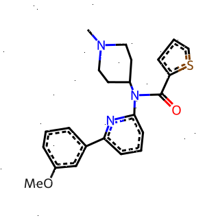 COc1cccc(-c2cccc(N(C(=O)c3cccs3)C3CCN(C)CC3)n2)c1